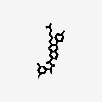 C=C(C)CCCCc1nc2cc(C(=C)NC(C)c3cc(C)cc(F)c3)ccc2nc1-c1ccc(C)cc1